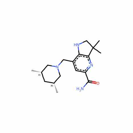 C[C@@H]1C[C@H](C)CN(Cc2cc(C(N)=O)nc3c2NCC3(C)C)C1